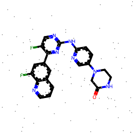 O=C1CN(c2ccc(Nc3ncc(F)c(-c4cc(F)c5ncccc5c4)n3)nc2)CCN1